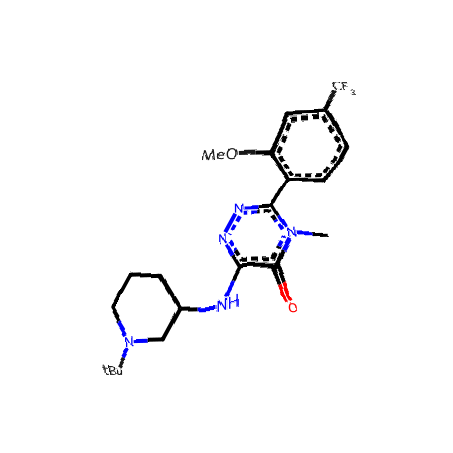 COc1cc(C(F)(F)F)ccc1-c1nnc(NC2CCCN(C(C)(C)C)C2)c(=O)n1C